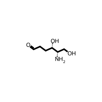 N[C@@H](CO)[C@@H](O)CCC=O